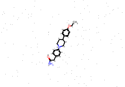 CCOc1ccc(C2CCN(c3ccc([CH]C(N)=O)cc3)CC2)cc1